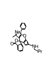 Cc1nn(-c2ccccc2)c2c1C1(OC(=O)c3ccccc31)c1ccc(NCC(C)C)cc1O2